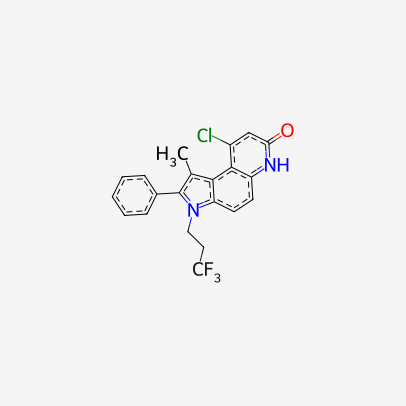 Cc1c(-c2ccccc2)n(CCC(F)(F)F)c2ccc3[nH]c(=O)cc(Cl)c3c12